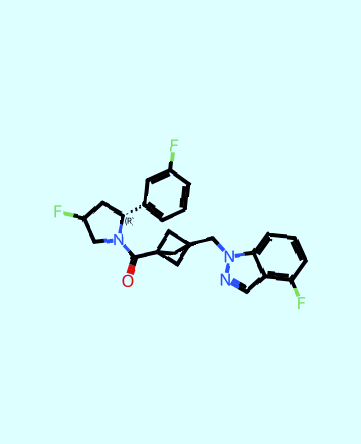 O=C(N1CC(F)C[C@@H]1c1cccc(F)c1)C12CC(Cn3ncc4c(F)cccc43)(C1)C2